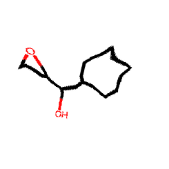 OC(C1CCCCC1)C1CO1